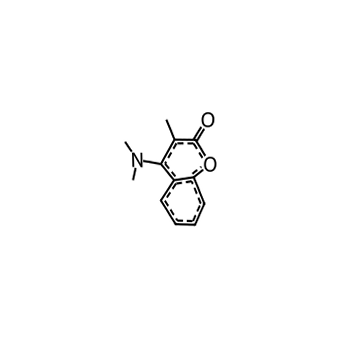 Cc1c(N(C)C)c2ccccc2oc1=O